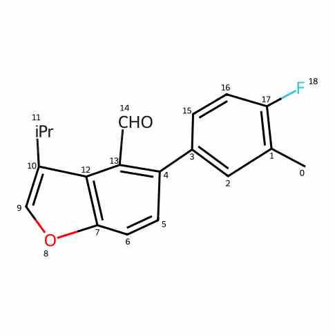 Cc1cc(-c2ccc3occ(C(C)C)c3c2C=O)ccc1F